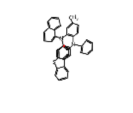 Cc1ccc(N(c2ccccc2)c2ccccc2)c(N(c2ccc3c(c2)sc2ccccc23)c2cccc3ccccc23)c1